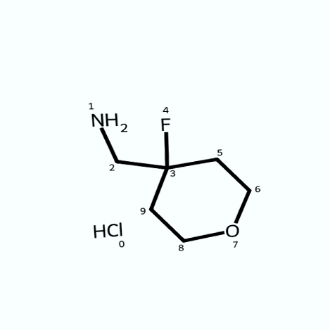 Cl.NCC1(F)CCOCC1